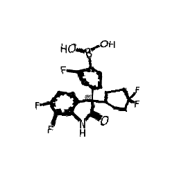 O=C1Nc2c(ccc(F)c2F)[C@]1(c1ccc(B(O)O)c(F)c1)C1CCC(F)(F)CC1